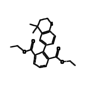 CCOC(=O)c1cccc(C(=O)OCC)c1-c1ccc2c(c1)C(C)(C)CCS2